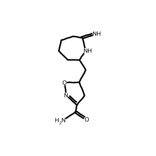 N=C1CCCCC(CC2CC(C(N)=O)=NO2)N1